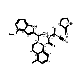 COc1cccc2[nH]c(C(O)N3CCc4c(C)cccc4[C@H]3C(=O)N[C@H](C#N)C[C@@H]3CCNC3=O)cc12